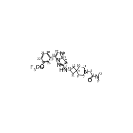 CN(C)C(=O)CN1CCC2(CC1)CC(Nc1nn3c(-c4cccc(OC(F)(F)F)c4)cnc3s1)C2